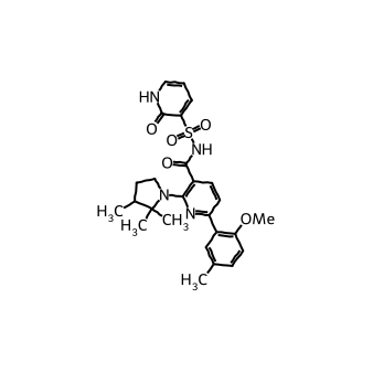 COc1ccc(C)cc1-c1ccc(C(=O)NS(=O)(=O)c2ccc[nH]c2=O)c(N2CCC(C)C2(C)C)n1